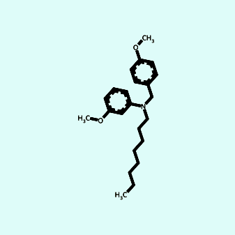 CCCCCCCCN(Cc1ccc(OC)cc1)c1cccc(OC)c1